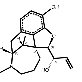 C=C[C@H](O)[C@@H]1Oc2c(O)ccc3c2[C@@]12CCCN(C)[C@H](C3)[C@@H]2C